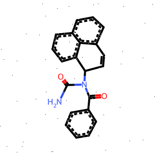 NC(=O)N(C(=O)c1ccccc1)C1C=Cc2cccc3cccc1c23